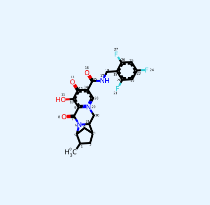 CC1CC2CC1N1C(=O)c3c(O)c(=O)c(C(=O)NCc4c(F)cc(F)cc4F)cn3CC21